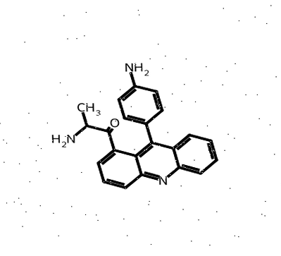 CC(N)C(=O)c1cccc2nc3ccccc3c(-c3ccc(N)cc3)c12